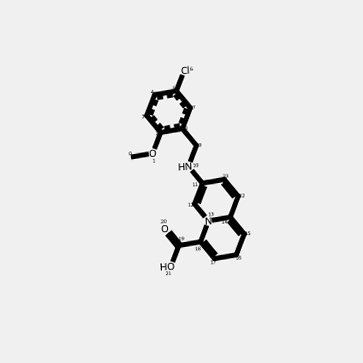 COc1ccc(Cl)cc1CNC1=CN2C(=CCC=C2C(=O)O)C=C1